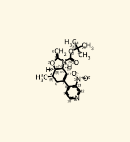 C=C1O[C@@H]2[C@H](C)CC(c3ccncc3[N+](=O)[O-])=C[C@@H]2N1C(=O)OC(C)(C)C